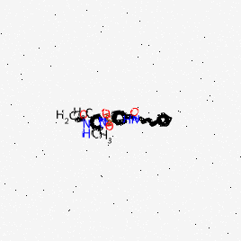 C=CC(=O)NC1C(C)CN(S(=O)(=O)c2ccc(C(=O)NCCCCc3ccccc3)cc2)CC1C